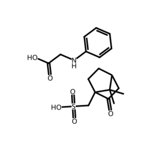 CC1(C)C2CCC1(CS(=O)(=O)O)C(=O)C2.O=C(O)CNc1ccccc1